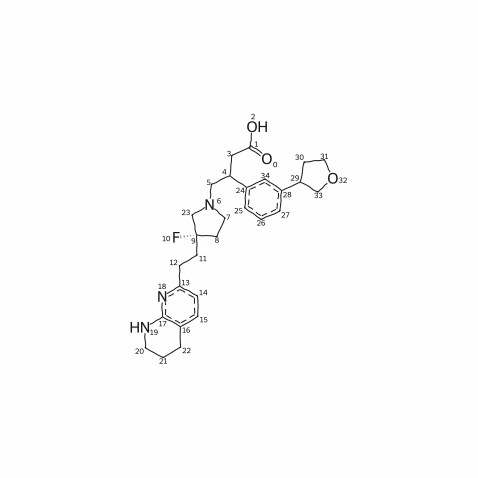 O=C(O)CC(CN1CC[C@@](F)(CCc2ccc3c(n2)NCCC3)C1)c1cccc(C2CCOC2)c1